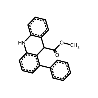 COC(=O)C1c2ccccc2Nc2cccc(-c3ccccc3)c21